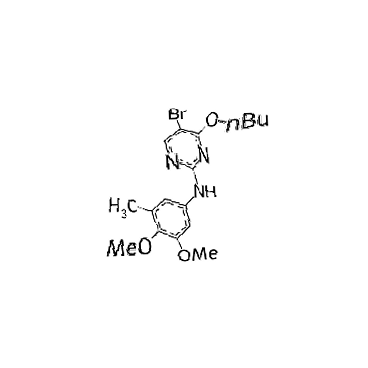 CCCCOc1nc(Nc2cc(C)c(OC)c(OC)c2)ncc1Br